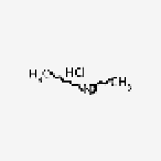 CCCCCCCCCn1ccc(CCCC)c1.Cl